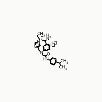 CCCn1cnc(CN(CC(=O)Nc2ccc(C(C)C)cc2)c2cccc(C(=N)N)c2)c1.Cl.Cl